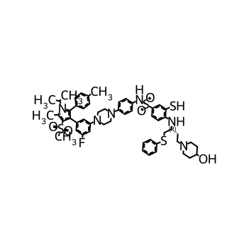 Cc1ccc(-c2c(-c3cc(F)cc(N4CCN(c5ccc(NS(=O)(=O)c6ccc(N[C@H](CCN7CCC(O)CC7)CSc7ccccc7)c(S)c6)cc5)CC4)c3)c(S(C)(=O)=O)c(C)n2C(C)C)cc1